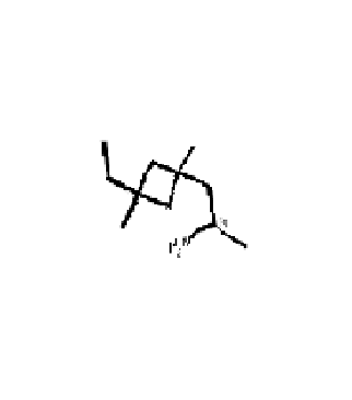 CCC1(C)CC(C)(C[C@@H](C)N)C1